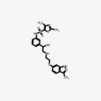 Cc1nc(C)c(S(=O)(=O)Nc2cccc(C(O)CNCCOc3ccc4c(C)n[nH]c4c3)c2)s1